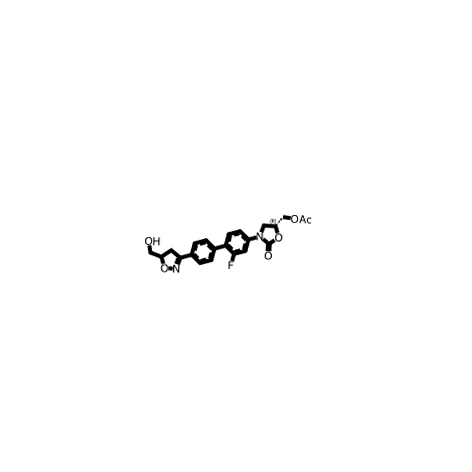 CC(=O)OC[C@H]1CN(c2ccc(-c3ccc(C4=NOC(CO)C4)cc3)c(F)c2)C(=O)O1